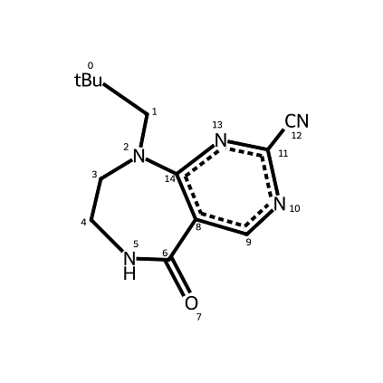 CC(C)(C)CN1CCNC(=O)c2cnc(C#N)nc21